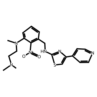 CN(C)CCN(C)c1cccc(CNc2nc(-c3ccncc3)cs2)c1[N+](=O)[O-]